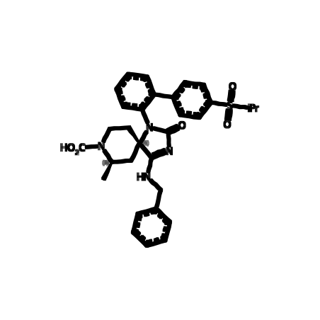 CC(C)S(=O)(=O)c1ccc(-c2ccccc2N2C(=O)N=C(NCc3ccccc3)[C@@]23CCN(C(=O)O)[C@H](C)C3)cc1